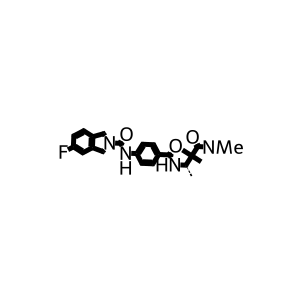 CNC(=O)C(C)(C)[C@H](C)NC(=O)c1ccc(NC(=O)N2Cc3ccc(F)cc3C2)cc1